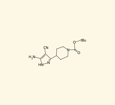 CC(C)(C)OC(=O)N1CCC(c2n[nH]c(N)c2C#N)CC1